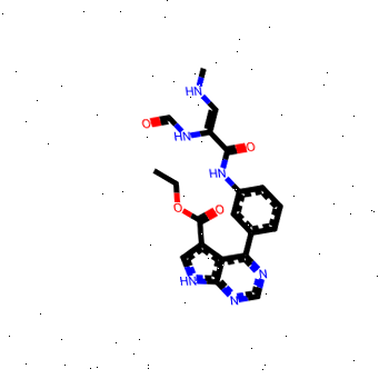 CCOC(=O)c1c[nH]c2ncnc(-c3cccc(NC(=O)/C(=C/NC)NC=O)c3)c12